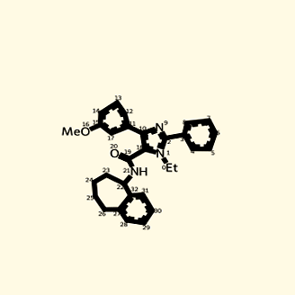 CCn1c(-c2ccccc2)nc(-c2cccc(OC)c2)c1C(=O)NC1CCCCc2ccccc21